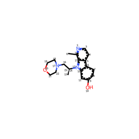 Cc1nccc2c3ccc(O)cc3n([C@@H](C)CN3CCOCC3)c12